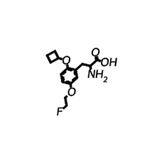 NC(Cc1cc(OCCF)ccc1OC1CCC1)C(=O)O